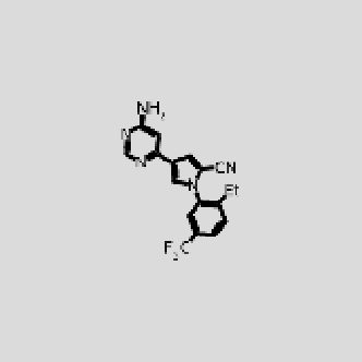 CCc1ccc(C(F)(F)F)cc1-n1cc(-c2cc(N)ncn2)cc1C#N